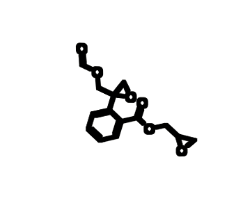 O=COCC1(c2ccccc2C(=O)OCC2CO2)CO1